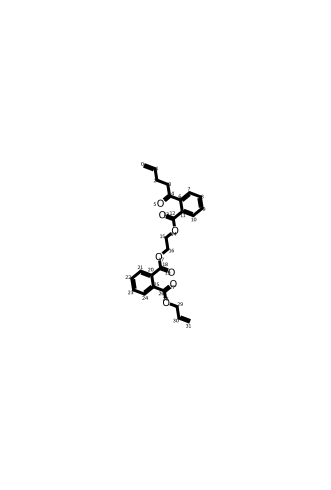 C=CCCC(=O)c1ccccc1C(=O)OCCOC(=O)c1ccccc1C(=O)OCC=C